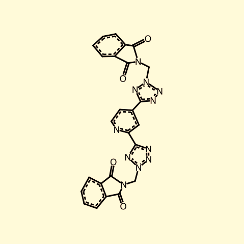 O=C1c2ccccc2C(=O)N1Cn1nnc(-c2ccnc(-c3nnn(CN4C(=O)c5ccccc5C4=O)n3)c2)n1